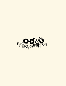 CCOC(=O)CC(NC(=O)Nc1c(O)ccn(C)c1=O)c1cc(C)cc(-c2cccc(OC(F)(F)F)c2)c1